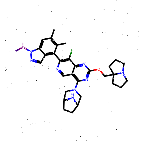 Cc1cc2c(cnn2PI)c(-c2ncc3c(N4CC5CCC(C4)N5)nc(OCC45CCCN4CCC5)nc3c2F)c1C